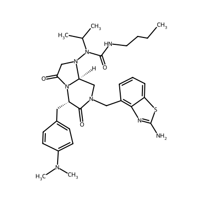 CCCCNC(=O)N(C(C)C)N1CC(=O)N2[C@@H](Cc3ccc(N(C)C)cc3)C(=O)N(Cc3cccc4sc(N)nc34)C[C@@H]21